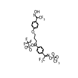 O=S(=O)(O)C(F)(F)F.O=S(=O)(ON=C(c1ccc(OCCCOc2ccc(C(=NO)C(F)(F)F)cc2)cc1)C(F)(F)F)C(F)(F)F